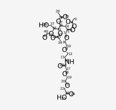 CC(=O)OC(C(=O)COCCOCCNC(=O)COCCOCC(=O)O)C(OC(C)=O)C(OC(C)=O)C(CO)OC=O